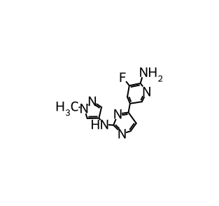 Cn1cc(Nc2nccc(-c3cnc(N)c(F)c3)n2)cn1